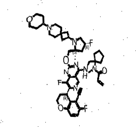 C#Cc1c(F)ccc2c1[C@H](c1ncc3c(NCC4(N(C)C(=O)C=C)CCCC4)nc(OC[C@]4(C)C[C@@H](F)CN4C4CC5(CCN(C6CCOCC6)CC5)C4)nc3c1F)CCO2